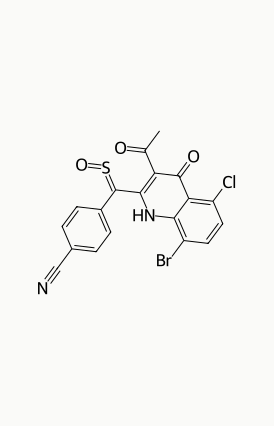 CC(=O)c1c(C(=S=O)c2ccc(C#N)cc2)[nH]c2c(Br)ccc(Cl)c2c1=O